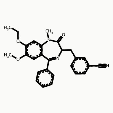 CCOc1cc2c(cc1OC)C(c1ccccc1)=NC(Cc1cccc(C#N)c1)C(=O)N2C